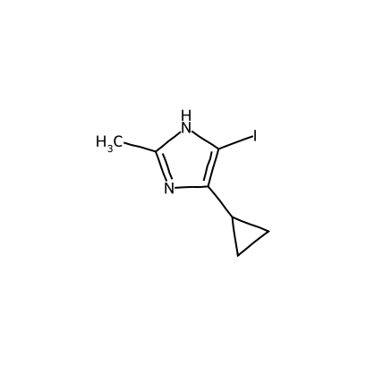 Cc1nc(C2CC2)c(I)[nH]1